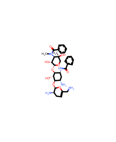 CN(C(=O)c1ccccc1)[C@@H]1[C@@H](O)[C@@H](O[C@@H]2[C@@H](O)[C@H](O[C@H]3OC(CN)=CC[C@H]3N)[C@@H](N)C[C@H]2NC(=O)c2ccccc2)OC[C@]1(C)O